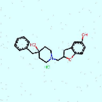 Cl.Oc1ccc2c(c1)CC(CN1CCC(O)(Cc3ccccc3)CC1)O2